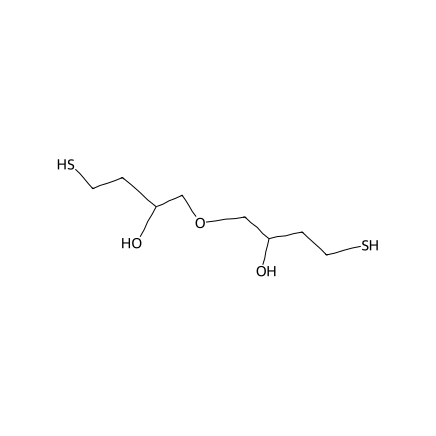 OC(CCS)COCC(O)CCS